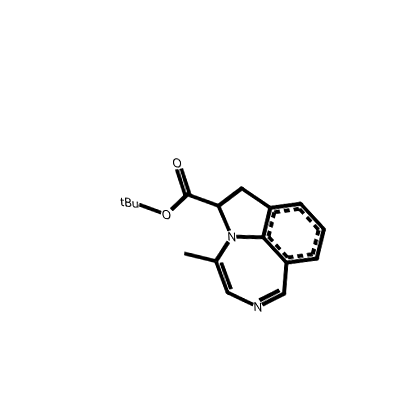 CC1=CN=Cc2cccc3c2N1C(C(=O)OC(C)(C)C)C3